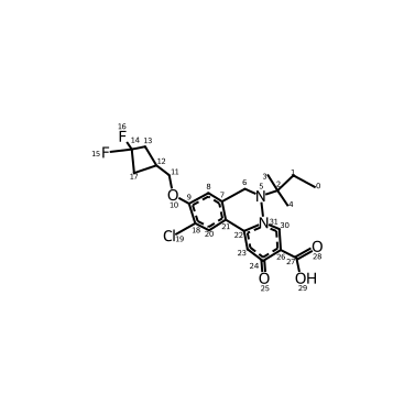 CCC(C)(C)N1Cc2cc(OCC3CC(F)(F)C3)c(Cl)cc2-c2cc(=O)c(C(=O)O)cn21